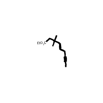 CC#CC/C=C/C(C)(C)CC(=O)OCC